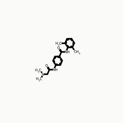 Cc1cccc(C)c1NC(=O)c1ccc(NC(=O)CN(C)C)cc1